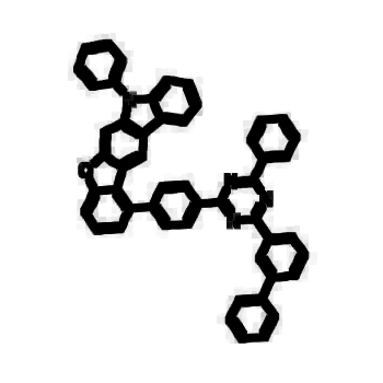 c1ccc(-c2cccc(-c3nc(-c4ccccc4)nc(-c4ccc(-c5cccc6oc7cc8c(cc7c56)c5ccccc5n8-c5ccccc5)cc4)n3)c2)cc1